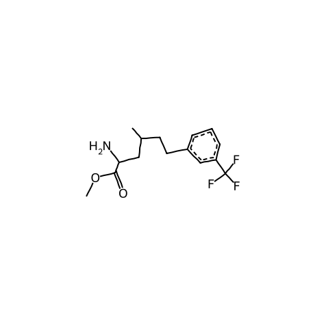 COC(=O)C(N)CC(C)CCc1cccc(C(F)(F)F)c1